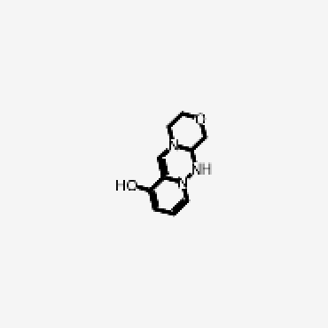 OC1=CC=CN2NC3COCCN3C=C12